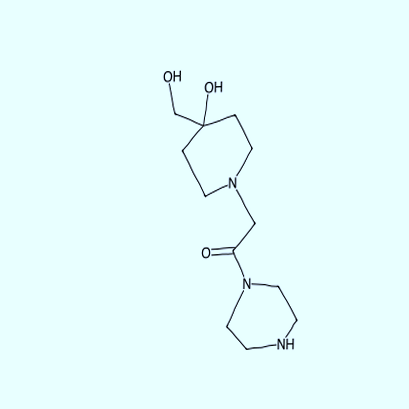 O=C(CN1CCC(O)(CO)CC1)N1CCNCC1